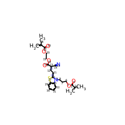 C=C(C)C(=O)OCCCN1/C(=C/C=C(\C#N)C(=O)OCCOC(=O)C(=C)C)Sc2ccccc21